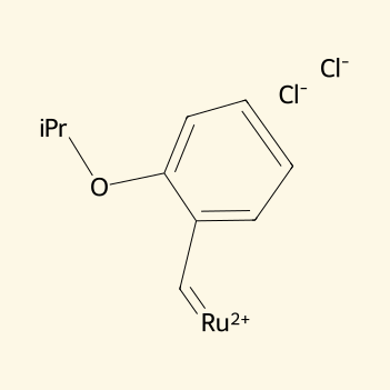 CC(C)Oc1ccccc1[CH]=[Ru+2].[Cl-].[Cl-]